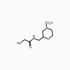 O=C(CO)NCC1CN(C(=O)O)CCO1